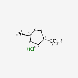 CC(C)[C@H]1CC[C@H](C(=O)O)CC1.Cl